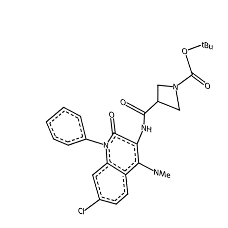 CNc1c(NC(=O)C2CN(C(=O)OC(C)(C)C)C2)c(=O)n(-c2ccccc2)c2cc(Cl)ccc12